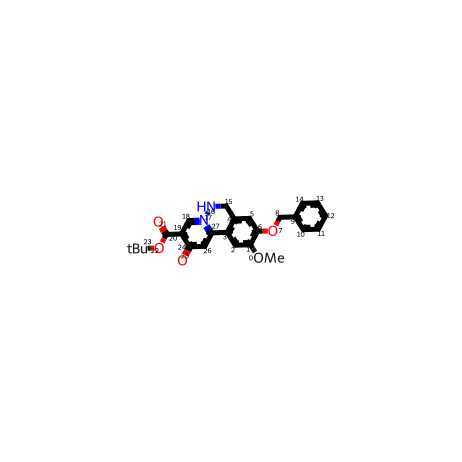 COc1cc2c(cc1OCc1ccccc1)CNn1cc(C(=O)OC(C)(C)C)c(=O)cc1-2